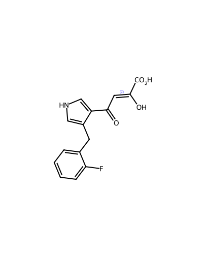 O=C(O)/C(O)=C/C(=O)c1c[nH]cc1Cc1ccccc1F